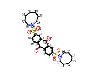 O=C1c2ccc(S(=O)(=O)N3CCCCCCC3)cc2C(=O)c2cc(S(=O)(=O)N3CCCCCCC3)ccc21